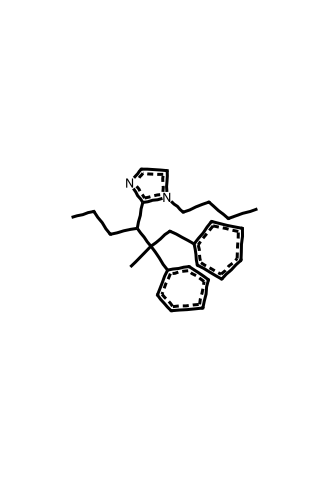 CCCCn1ccnc1C(CCC)C(C)(Cc1ccccc1)c1ccccc1